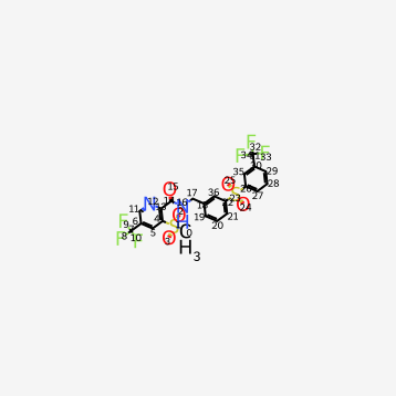 CS(=O)(=O)c1cc(C(F)(F)F)cnc1C(=O)NCc1cccc(S(=O)(=O)c2cccc(C(F)(F)F)c2)c1